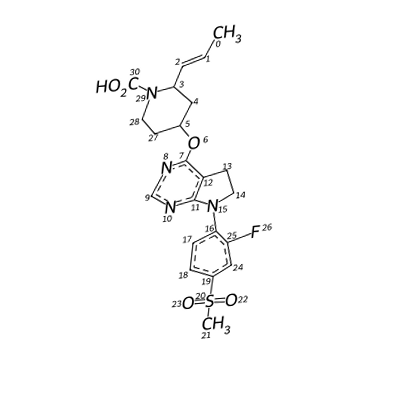 CC=CC1CC(Oc2ncnc3c2CCN3c2ccc(S(C)(=O)=O)cc2F)CCN1C(=O)O